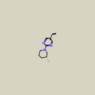 C=Cc1cnc(N2CCC[C@@H](C)C2)nc1